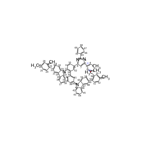 C/C=C\C(=C/C)c1cc(-c2ccc(-n3c4ccccc4c4cc(-c5ccc(C)cc5C)ccc43)c(-c3cccc(-n4c5ccccc5c5cc(-c6ccc(C)cc6C)ccc54)c3)c2)nc(-c2ccccc2)n1